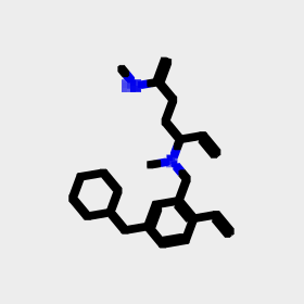 C=Cc1ccc(CC2CCCCC2)cc1CN(C)C(C=C)CCC(=C)NC